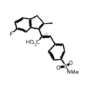 CNS(=O)(=O)c1ccc(/C=C(\C(=O)O)C2=C(C)Cc3ccc(F)cc32)cc1